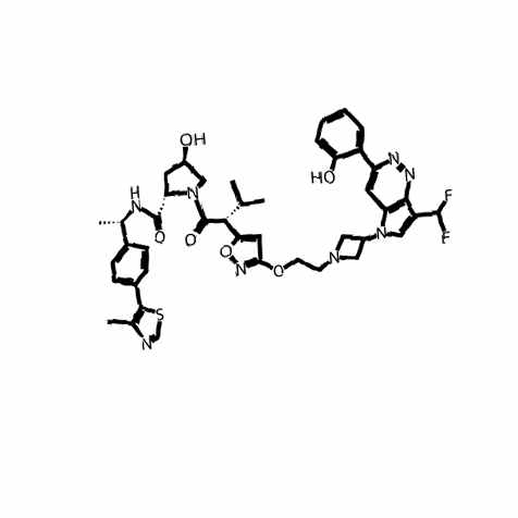 Cc1ncsc1-c1ccc([C@H](C)NC(=O)[C@@H]2C[C@@H](O)CN2C(=O)[C@@H](c2cc(OCCN3CC(n4cc(C(F)F)c5nnc(-c6ccccc6O)cc54)C3)no2)C(C)C)cc1